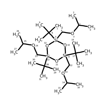 CC(C)OC[Si]1(C(C)(C)C)O[Si](COC(C)C)(C(C)(C)C)O[Si](COC(C)C)(C(C)(C)C)O1